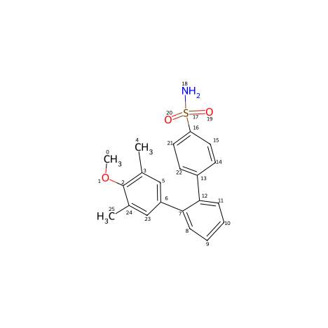 COc1c(C)cc(-c2ccccc2-c2ccc(S(N)(=O)=O)cc2)cc1C